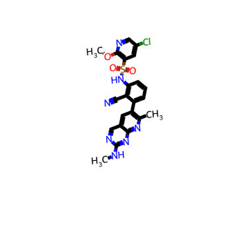 CNc1ncc2cc(-c3cccc(NS(=O)(=O)c4cc(Cl)cnc4OC)c3C#N)c(C)nc2n1